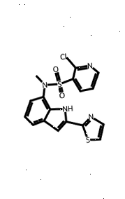 CN(c1cccc2cc(-c3nccs3)[nH]c12)S(=O)(=O)c1cccnc1Cl